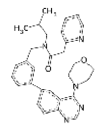 CC(C)CN(Cc1cccc(-c2ccc3ncnc(N4CCOCC4)c3c2)c1)C(=O)Cc1ccccn1